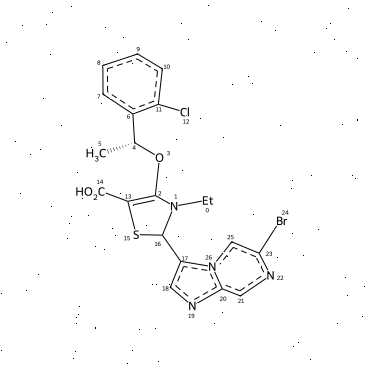 CCN1C(O[C@H](C)c2ccccc2Cl)=C(C(=O)O)SC1c1cnc2cnc(Br)cn12